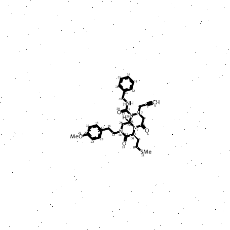 C#CCN1CC(=O)N2[C@@H](CCSC)C(=O)N(CCc3ccc(OC)cc3)C[C@@H]2N1C(=O)NCc1ccccc1